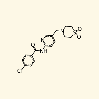 O=C(Nc1ccc(CN2CCS(=O)(=O)CC2)cn1)c1ccc(Cl)cc1